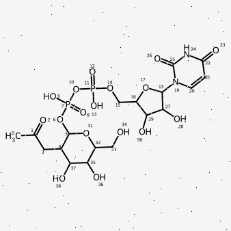 CC(=O)CC1C(OP(=O)(O)OP(=O)(O)OCC2OC(n3ccc(=O)[nH]c3=O)C(O)C2O)OC(CO)C(O)C1O